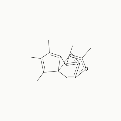 CC1=C(C)C23C=c4oc(C)c(c4=C(C)C2=C1C)C3